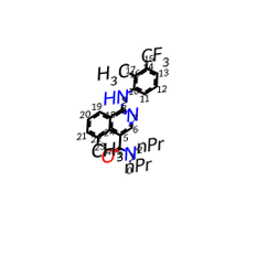 CCCN(CCC)C(=O)c1cnc(Nc2cccc(C(F)(F)F)c2C)c2cccc(C)c12